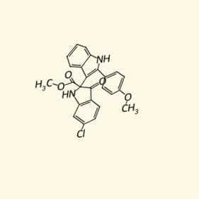 COC(=O)C1(c2c(-c3ccc(OC)cc3)[nH]c3ccccc23)Nc2cc(Cl)ccc2C1=O